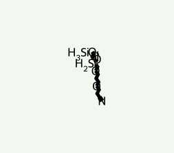 C[Si](C)(O[SiH3])O[SiH2]COCCCOCCC#N